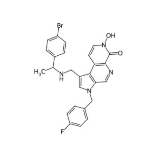 CC(NCc1cn(Cc2ccc(F)cc2)c2cnc3c(=O)n(O)ccc3c12)c1ccc(Br)cc1